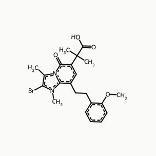 COc1ccccc1CCc1cc(C(C)(C)C(=O)O)c(=O)n2c(C)c(Br)n(C)c12